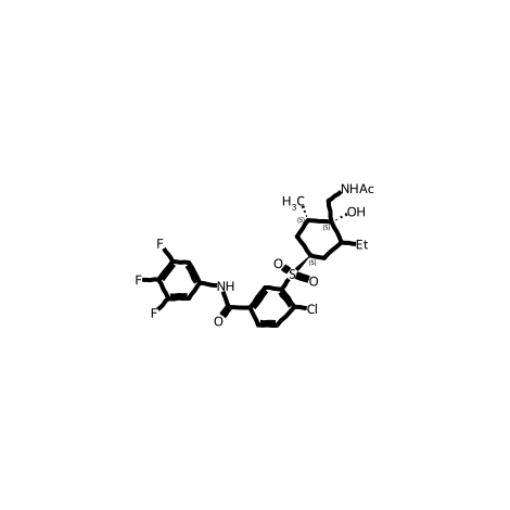 CCC1C[C@@H](S(=O)(=O)c2cc(C(=O)Nc3cc(F)c(F)c(F)c3)ccc2Cl)C[C@H](C)[C@@]1(O)CNC(C)=O